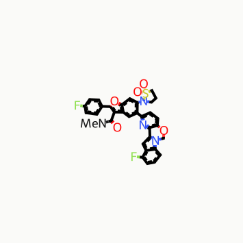 CNC(=O)c1c(-c2ccc(F)cc2)oc2cc(N3CCCS3(=O)=O)c(-c3ccc4c(n3)-c3cc5c(F)cccc5n3CO4)cc12